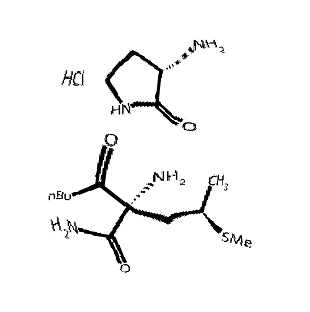 CCCCC(=O)[C@@](N)(C[C@@H](C)SC)C(N)=O.Cl.N[C@H]1CCNC1=O